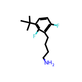 CC(C)(C)c1ccc(F)c(CCCCN)c1F